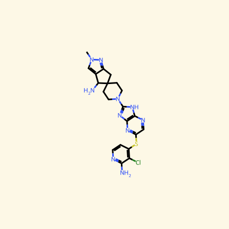 Cn1cc2c(n1)CC1(CCN(c3nc4nc(Sc5ccnc(N)c5Cl)cnc4[nH]3)CC1)C2N